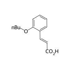 CCCCOc1ccccc1C=CC(=O)O